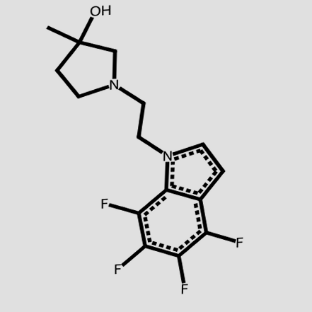 CC1(O)CCN(CCn2ccc3c(F)c(F)c(F)c(F)c32)C1